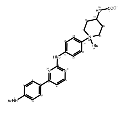 CC(=O)Nc1ccc(-c2ccnc(Nc3ccc([N+]4(C(C)(C)C)CCC(NC(=O)[O-])CC4)cc3)n2)cc1